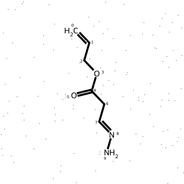 C=CCOC(=O)CC=NN